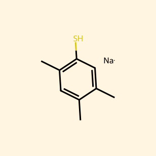 Cc1cc(C)c(S)cc1C.[Na]